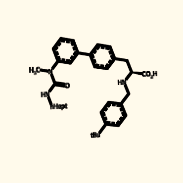 CCCCCCCNC(=O)N(C)c1cccc(-c2ccc(C[C@H](NCc3ccc(C(C)(C)C)cc3)C(=O)O)cc2)c1